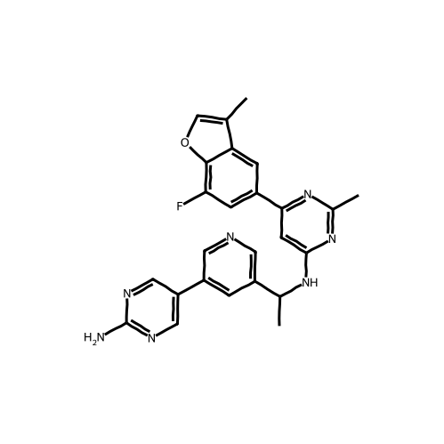 Cc1nc(NC(C)c2cncc(-c3cnc(N)nc3)c2)cc(-c2cc(F)c3occ(C)c3c2)n1